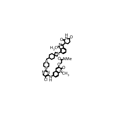 CNC(=O)COc1cc2cc(Nc3nc(N4CCN(CC5CCC6(CC5)CN(c5cccc7c(C8CCC(=O)NC8=O)nn(C)c57)C6)CC4)ncc3Cl)ccc2n(C)c1=O